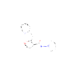 O=C(NN1CCCC1)c1ccoc1Cc1ccccn1